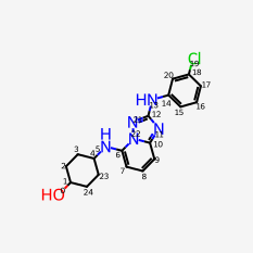 OC1CCC(Nc2cccc3nc(Nc4cccc(Cl)c4)nn23)CC1